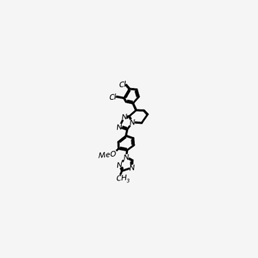 COc1cc(-c2nnc3n2CCCC3c2ccc(Cl)c(Cl)c2)ccc1-n1cnc(C)n1